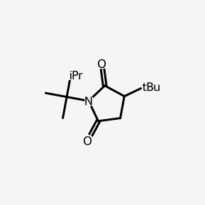 CC(C)C(C)(C)N1C(=O)CC(C(C)(C)C)C1=O